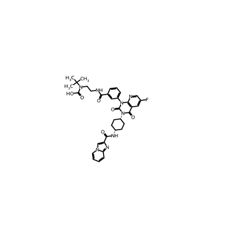 CC(C)(C)N(CCNC(=O)c1cccc(-n2c(=O)n([C@H]3CC[C@@H](NC(=O)c4cn5ccccc5n4)CC3)c(=O)c3cc(F)cnc32)c1)C(=O)O